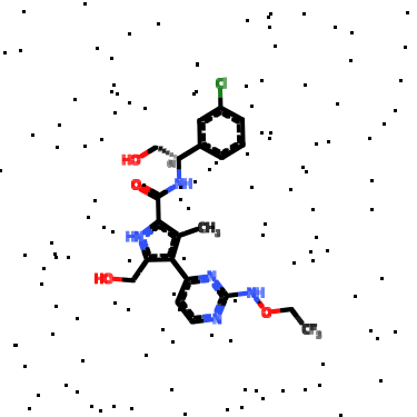 Cc1c(C(=O)N[C@H](CO)c2cccc(Cl)c2)[nH]c(CO)c1-c1ccnc(NOCC(F)(F)F)n1